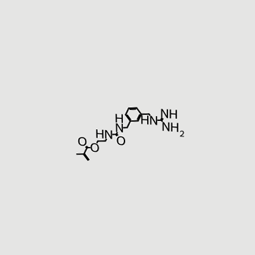 C=C(C)C(=O)OCCNC(=O)NCc1cccc(CNC(=N)N)c1